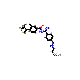 Cc1cc(C(=O)NC(=N)c2ccc(CNCCC(=O)O)cc2)ccc1-c1cscc1C